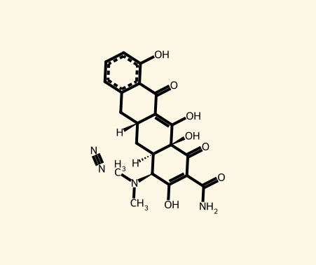 CN(C)[C@@H]1C(O)=C(C(N)=O)C(=O)[C@@]2(O)C(O)=C3C(=O)c4c(O)cccc4C[C@H]3C[C@H]12.N#N